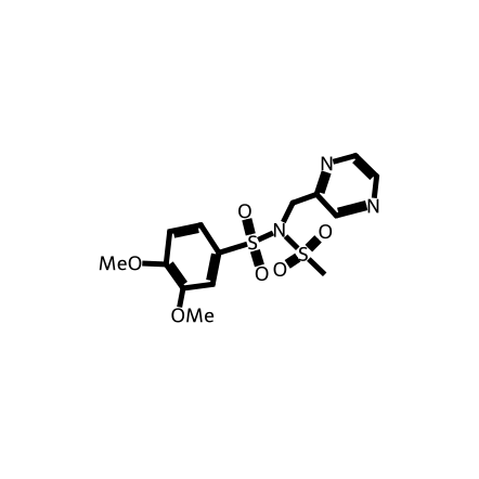 COc1ccc(S(=O)(=O)N(Cc2cnccn2)S(C)(=O)=O)cc1OC